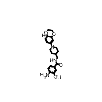 Nc1ccc(C(=O)NCC2CCN(C3=CC4OCCO[C@@H]4C=C3)CC2)cc1O